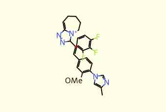 COc1cc(/C=C/C2N=NC3=CCCCC[N@@+]32c2cc(F)c(F)c(F)c2)ccc1-n1cnc(C)c1